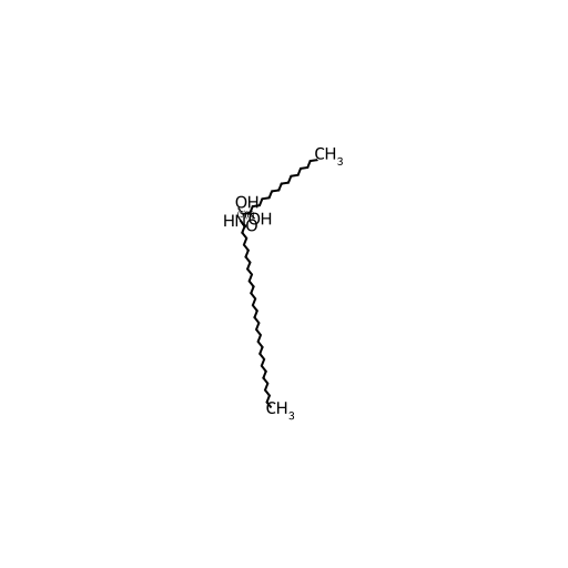 CCCCCCCCCCCCCCCCCCCCCCCCCCCCCCC(=O)N[C@@H](CO)[C@H](O)CCCCCCCCCCCCCCC